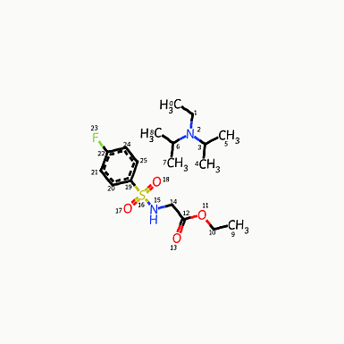 CCN(C(C)C)C(C)C.CCOC(=O)CNS(=O)(=O)c1ccc(F)cc1